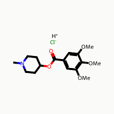 COc1cc(C(=O)OC2CCN(C)CC2)cc(OC)c1OC.[Cl-].[H+]